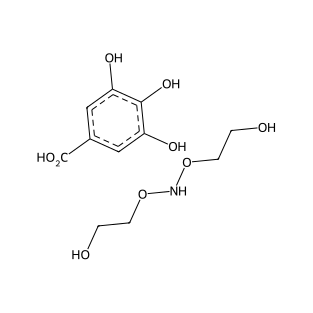 O=C(O)c1cc(O)c(O)c(O)c1.OCCONOCCO